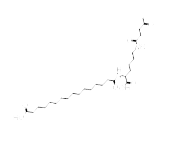 CC(=O)CCC(=O)NCCCCC(NC(=O)CCCCCCCCCCCCCCC(=O)O)C(=O)O